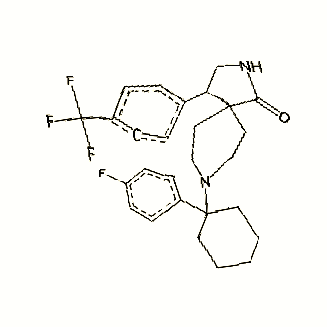 O=C1NCC(c2ccc(C(F)(F)F)cc2)C12CCN(C1(c3ccc(F)cc3)CCCCC1)CC2